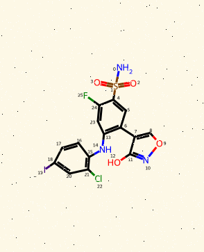 NS(=O)(=O)c1cc(-c2conc2O)c(Nc2ccc(I)cc2Cl)cc1F